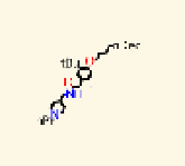 CCCCCCCCCCCCCCOc1ccc(CC(=O)NCc2cc[n+](CCC)cc2)cc1C(C)(C)C.[I-]